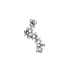 Cn1cc(-c2cc(-c3ccc(N4CCC(NC(=O)CO)CC4)nc3)c3c(C#N)cnn3c2)cn1